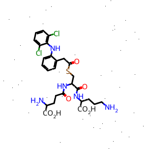 NCCCC(NC(=O)C(CSC(=O)Cc1ccccc1Nc1c(Cl)cccc1Cl)NC(=O)CCC(N)C(=O)O)C(=O)O